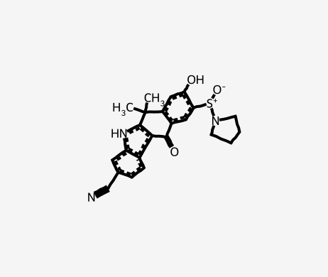 CC1(C)c2cc(O)c([S+]([O-])N3CCCC3)cc2C(=O)c2c1[nH]c1cc(C#N)ccc21